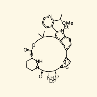 CCO[C@@H]1c2nc(cs2)-c2ccc3c(c2)c(c(-c2cccnc2[C@H](C)OC)n3CC)CC(C)(C)COC(=O)[C@@H]2CCCN(N2)C(=O)[C@H]1N